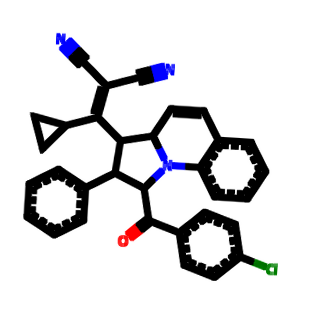 N#CC(C#N)=C(C1CC1)C1C(c2ccccc2)C(C(=O)c2ccc(Cl)cc2)N2c3ccccc3C=CC12